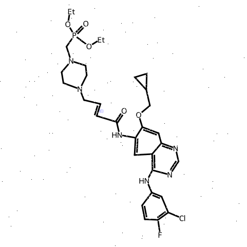 CCOP(=O)(CN1CCN(C/C=C/C(=O)Nc2cc3c(Nc4ccc(F)c(Cl)c4)ncnc3cc2OCC2CC2)CC1)OCC